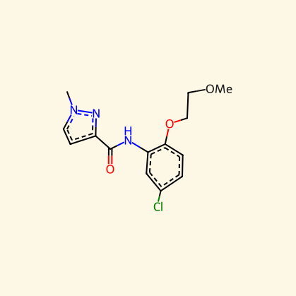 COCCOc1ccc(Cl)cc1NC(=O)c1ccn(C)n1